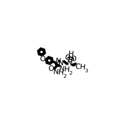 CC=CN(CCn1nc(-c2ccc(Oc3ccccc3)cc2)c(C(N)=O)c1N)[SH](=O)=O